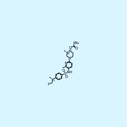 Cc1nc(N2CCN(OC(=O)C(C)(C)C)[C@H](C)C2)ccc1NS(=O)(=O)c1ccc([C@H](C)CF)cc1